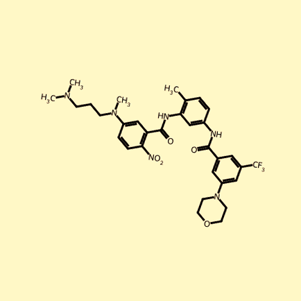 Cc1ccc(NC(=O)c2cc(N3CCOCC3)cc(C(F)(F)F)c2)cc1NC(=O)c1cc(N(C)CCCN(C)C)ccc1[N+](=O)[O-]